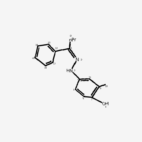 CCCC(=NNc1ccc(O)c(C)c1)c1ccccc1